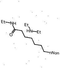 CCCCCCCCCCCCCCCC(=O)NCC.CCNCC